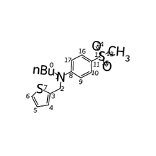 CCCCN(Cc1cccs1)c1ccc(S(C)(=O)=O)cc1